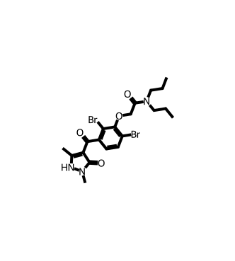 CCCN(CCC)C(=O)COc1c(Br)ccc(C(=O)c2c(C)[nH]n(C)c2=O)c1Br